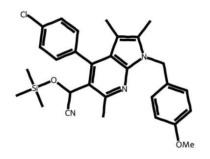 COc1ccc(Cn2c(C)c(C)c3c(-c4ccc(Cl)cc4)c(C(C#N)O[Si](C)(C)C)c(C)nc32)cc1